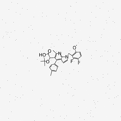 COc1ccc(F)c(F)c1Cn1ccc2c(-c3ccc(C)cc3)c(C(OC(C)(C)C)C(=O)O)c(C)nc21